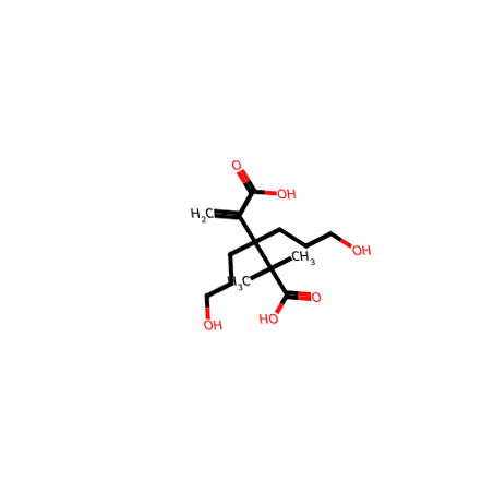 C=C(C(=O)O)C(CCCO)(CCCO)C(C)(C)C(=O)O